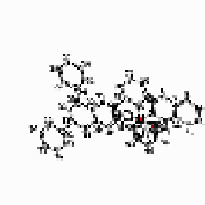 OP(O)(O)(c1ccc2ccccc2c1)c1ccccc1-c1cc2c(-c3ccccc3)cc(-c3ccccc3)cc2cc1-c1ccccc1